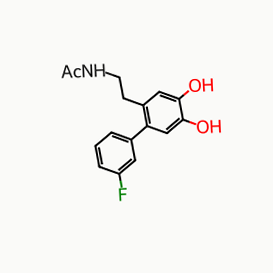 CC(=O)NCCc1cc(O)c(O)cc1-c1cccc(F)c1